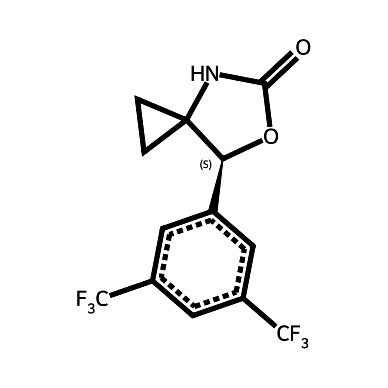 O=C1NC2(CC2)[C@H](c2cc(C(F)(F)F)cc(C(F)(F)F)c2)O1